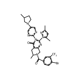 Cc1cc(C)n(-c2nc3c(c(=O)n2-c2ncc(N4CCC(C)C4)cn2)CC(C)N(C(=O)c2ccc(Br)c(C(F)(F)F)c2)C3)n1